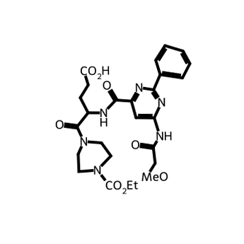 CCOC(=O)N1CCN(C(=O)C(CCC(=O)O)NC(=O)c2cc(NC(=O)COC)nc(-c3ccccc3)n2)CC1